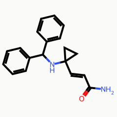 NC(=O)C=CC1(NC(c2ccccc2)c2ccccc2)CC1